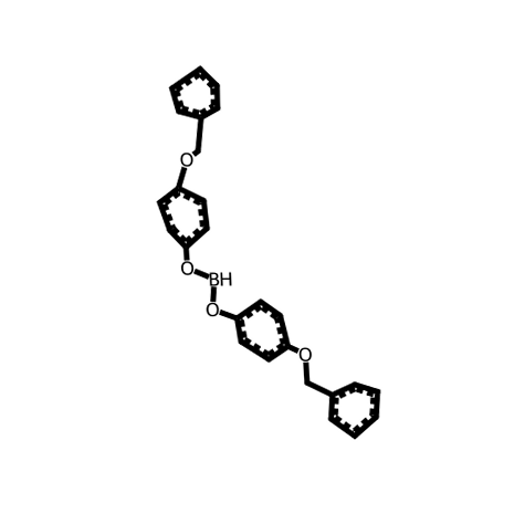 B(Oc1ccc(OCc2ccccc2)cc1)Oc1ccc(OCc2ccccc2)cc1